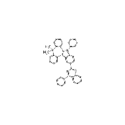 CC1(C)c2ccccc2-c2c(n(-c3ccccc3)c3ccc(-c4nc(-c5ccccc5)c5ccccc5n4)cc23)-c2ccccc21